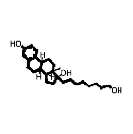 C[C@]12CC[C@@H]3c4ccc(O)cc4CC[C@H]3[C@@H]1CC[C@]2(O)CCCCCCCCO